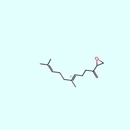 C=C(CC/C=C(\C)CCC=C(C)C)C1CO1